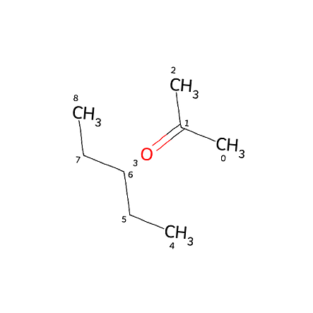 CC(C)=O.CCCCC